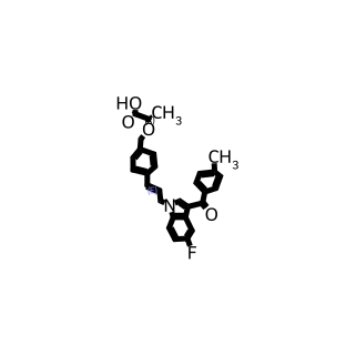 Cc1ccc(C(=O)c2cn(C/C=C/c3ccc(CO[C@H](C)C(=O)O)cc3)c3ccc(F)cc23)cc1